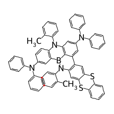 Cc1ccccc1N1B2c3cc(N(c4ccccc4)c4ccccc4)ccc3N(c3ccccc3C)c3cc(N(c4ccccc4)c4ccccc4)cc(c32)-c2cc3c(cc21)Sc1ccccc1S3